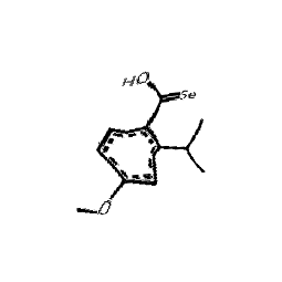 COc1ccc(C(O)=[Se])c(C(C)C)c1